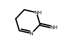 N=C1N=CCCN1